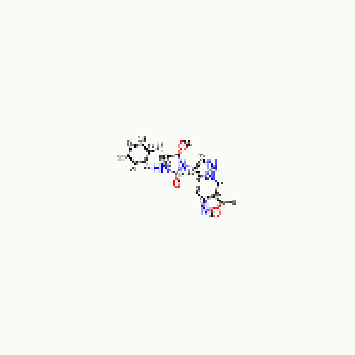 Cc1noc(C)c1Cn1cc(N2C(=O)N[C@H](Cc3ccccc3)C2=O)cn1